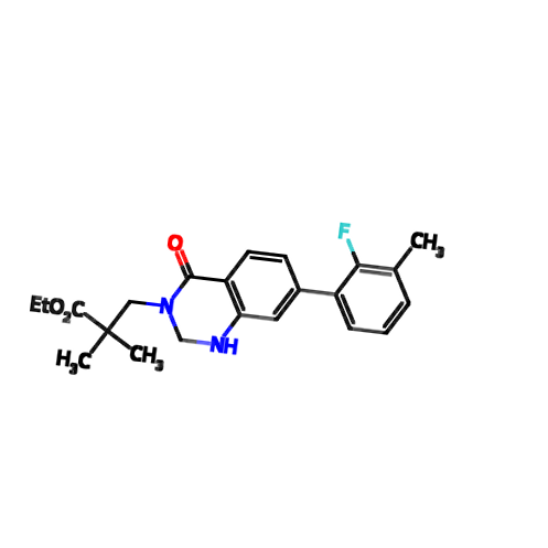 CCOC(=O)C(C)(C)CN1CNc2cc(-c3cccc(C)c3F)ccc2C1=O